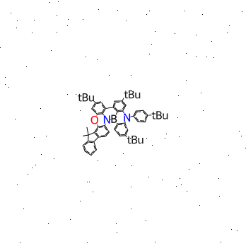 CC(C)(C)c1ccc(N2c3cc(C(C)(C)C)ccc3B3c4c(cc(C(C)(C)C)cc42)-c2cc(C(C)(C)C)cc4c2N3c2ccc3c(c2O4)C(C)(C)c2ccccc2-3)cc1